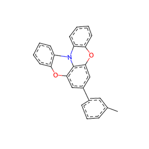 Cc1cccc(-c2cc3c4c(c2)Oc2ccccc2N4c2ccccc2O3)c1